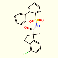 CCC1(C(=O)NS(=O)(=O)c2ccccc2-c2ccccc2)CCc2c(Cl)cccc21